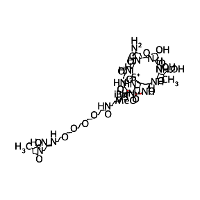 CC[C@H](C)[C@@H]1NC(=O)CNC(=O)[C@@H]2Cc3c([nH]c4c(CSCCCCNC(=O)CCOCCOCCOCCOCCN/C=C(\N)CN5C(=O)CC(C)C5=O)c(OC)ccc34)[S+]([O-])C[C@H](NC(=O)CNC1=O)C(=O)N[C@@H](CC(N)=O)C(=O)N1C[C@H](O)C[C@H]1C(=O)N[C@@H]([C@@H](C)[C@@H](O)CO)C(=O)N2